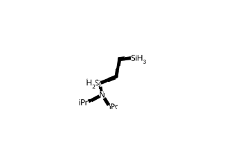 CC(C)N([SiH2]CC[SiH3])C(C)C